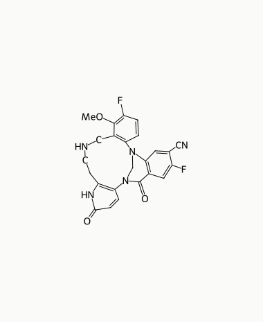 COc1c(F)ccc2c1CNCCc1[nH]c(=O)ccc1N1CN2c2cc(C#N)c(F)cc2C1=O